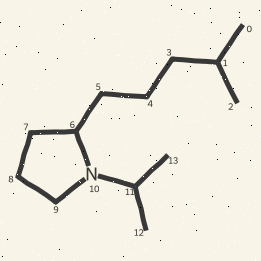 CC(C)CCCC1CCCN1C(C)C